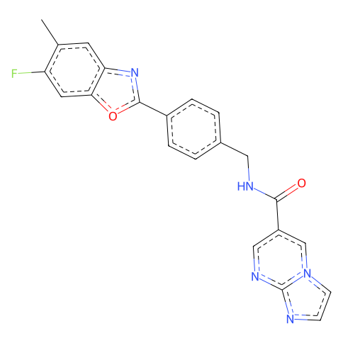 Cc1cc2nc(-c3ccc(CNC(=O)c4cnc5nccn5c4)cc3)oc2cc1F